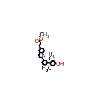 CCOC(=O)CCc1ccc2nc(-c3cccc(-c4c(C)cc(O)cc4C)c3)ccc2c1